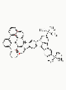 CC(C)(C)c1ccc2c(c1)c1cc(C(C)(C)C)cc3c4cc5c(cc4n2c13)c1cccc2c1n5-c1ccccc1B2c1c(-c2ccccc2)cccc1-c1ccccc1